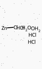 Cl.Cl.Cl.O.O.[Cl][Zn]